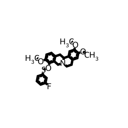 COc1cc2c(cc1OC)C1Cc3ccc(OC)c(OSc4cccc(F)c4)c3CN1CC2